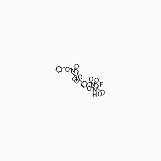 O=C(Oc1cc(=O)n(COCc2ccccc2)cc1Cl)c1cccc(C(=O)n2c(=O)[nH]c(C3CCCO3)c(F)c2=O)c1